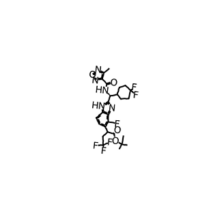 Cc1nonc1C(=O)N[C@H](c1nc2c(F)c(C(CC(F)(F)F)C(=O)OC(C)(C)C)ccc2[nH]1)C1CCC(F)(F)CC1